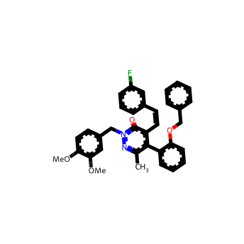 COc1ccc(Cn2nc(C)c(-c3ccccc3OCc3ccccc3)c(C=Cc3cccc(F)c3)c2=O)cc1OC